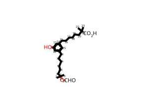 CC(C)(CCCCCCc1cc(O)cc(CCCCCCC(C)(C)C(=O)O)c1)OC=O